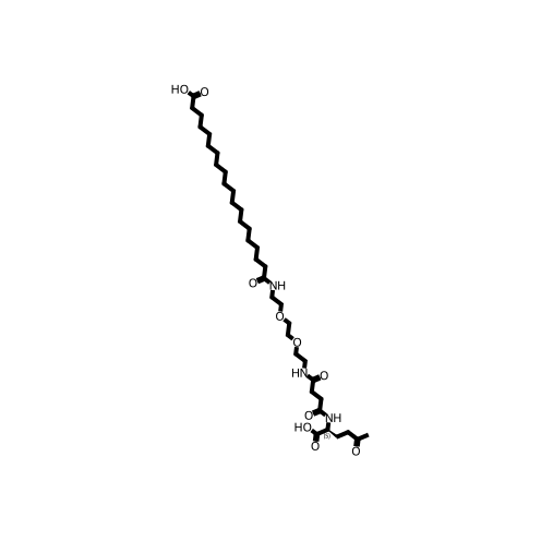 CC(=O)CC[C@H](NC(=O)CCC(=O)NCCOCCOCCNC(=O)CCCCCCCCCCCCCCCCCCC(=O)O)C(=O)O